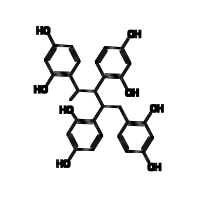 CC(c1ccc(O)cc1O)C(c1ccc(O)cc1O)C(Cc1ccc(O)cc1O)c1ccc(O)cc1O